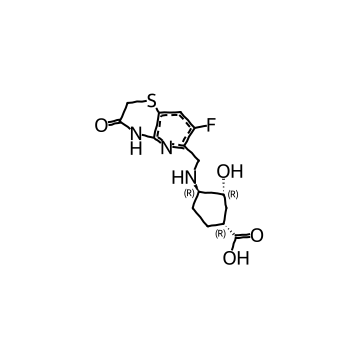 O=C1CSc2cc(F)c(CN[C@@H]3CC[C@@H](C(=O)O)C[C@H]3O)nc2N1